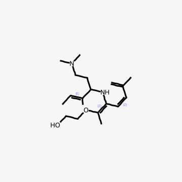 C=C(C)/C=C\C(NC(CCN(C)C)/C(C)=C/C)=C(/C)OCCO